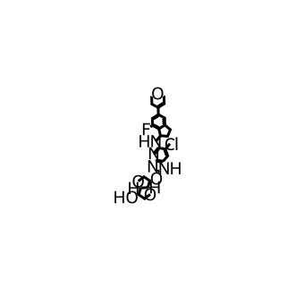 O[C@@H]1CO[C@H]2[C@@H]1OC[C@H]2Oc1nc2nc(NC3CCc4cc(C5=CCOCC5)cc(F)c43)c(Cl)cc2[nH]1